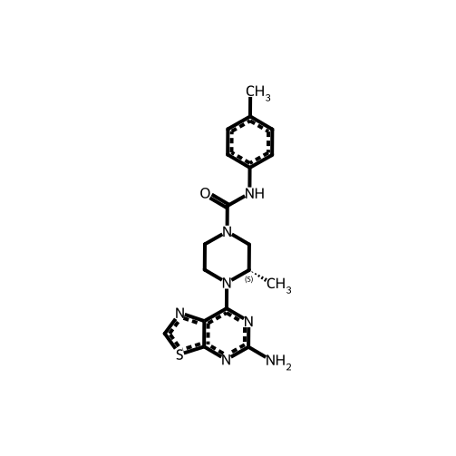 Cc1ccc(NC(=O)N2CCN(c3nc(N)nc4scnc34)[C@@H](C)C2)cc1